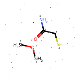 NC(=O)CS.[SiH3]O[SiH3]